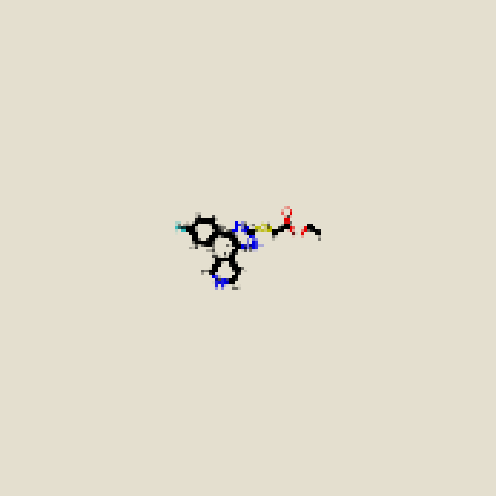 CCOC(=O)CSc1nc(-c2ccc(F)cc2)c(-c2ccncc2)[nH]1